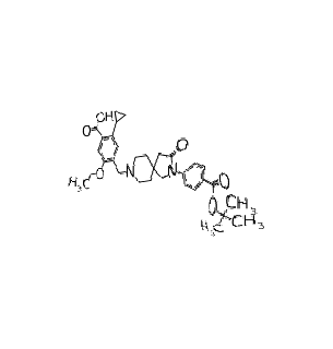 CCOc1cc(C(=O)O)c(C2CC2)cc1CN1CCC2(CC1)CC(=O)N(c1ccc(C(=O)OC(C)(C)C)cc1)C2